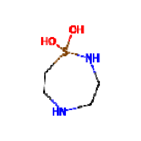 OS1(O)CCNCCN1